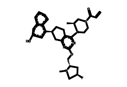 C=CC(=O)N1CCN(c2nc(OC[C@@H]3C[C@@H](F)CN3C)nc3c2CC[C@H](c2cc(O)cc4ccccc24)C3)[C@@H](C)C1